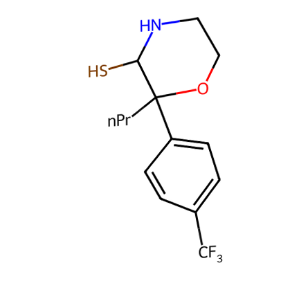 CCCC1(c2ccc(C(F)(F)F)cc2)OCCNC1S